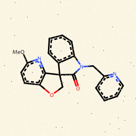 COc1ccc2c(n1)C1(CO2)C(=O)N(Cc2ccccn2)c2ccccc21